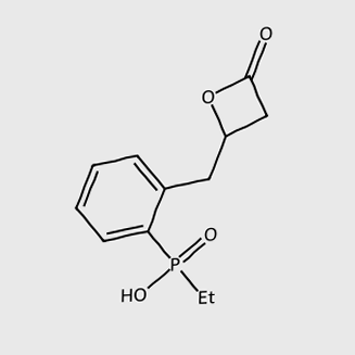 CCP(=O)(O)c1ccccc1CC1CC(=O)O1